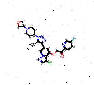 Cc1c(-c2cc(OCC(=O)c3ccc(F)cn3)c3c(Cl)cnn3c2)nnn1C1CCN(C2COC2)CC1